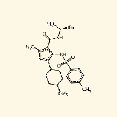 COC1CCC(c2nn(C)c(C(=O)N[C@@H](C)C(C)(C)C)c2NS(=O)(=O)c2ccc(C)cc2)CC1